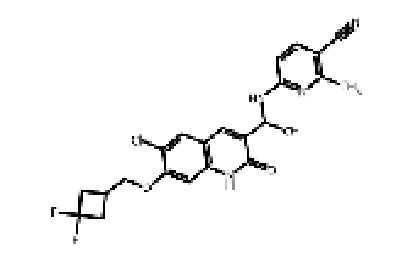 Cc1nc(NC(C)c2cc3cc(Cl)c(OCC4CC(F)(F)C4)cc3[nH]c2=O)ccc1C#N